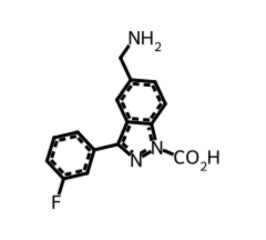 NCc1ccc2c(c1)c(-c1cccc(F)c1)nn2C(=O)O